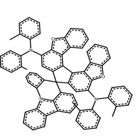 Cc1ccccc1N(c1ccccc1C)c1cc2c(c3c1oc1ccccc13)-c1c(cc(N(c3ccccc3C)c3ccccc3C)c3oc4ccccc4c13)C21c2ccccc2-n2c3ccccc3c3cccc1c32